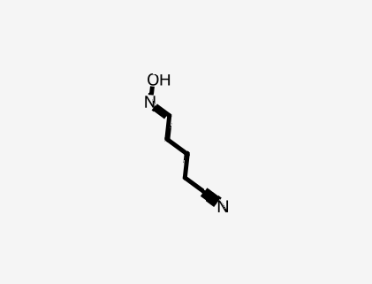 N#CCCCC=NO